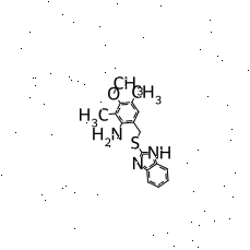 COc1c(C)cc(CSc2nc3ccccc3[nH]2)c(N)c1C